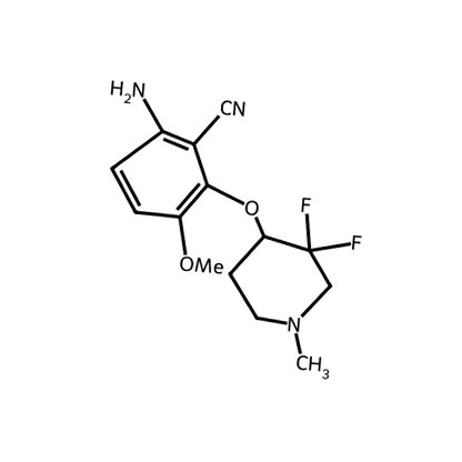 COc1ccc(N)c(C#N)c1OC1CCN(C)CC1(F)F